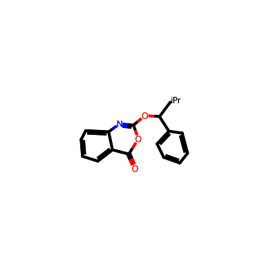 CC(C)C(Oc1nc2ccccc2c(=O)o1)c1ccccc1